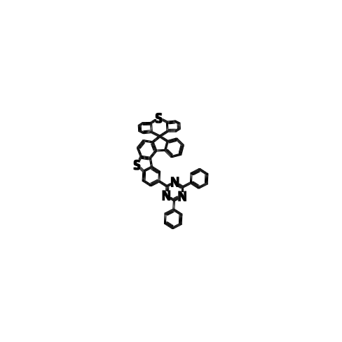 c1ccc(-c2nc(-c3ccccc3)nc(-c3ccc4sc5ccc6c(c5c4c3)-c3ccccc3C63c4ccccc4Sc4ccccc43)n2)cc1